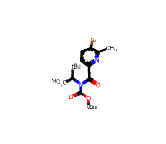 Cc1nc(C(=O)N(C(=O)OC(C)(C)C)C(C(=O)O)C(C)(C)C)ccc1Br